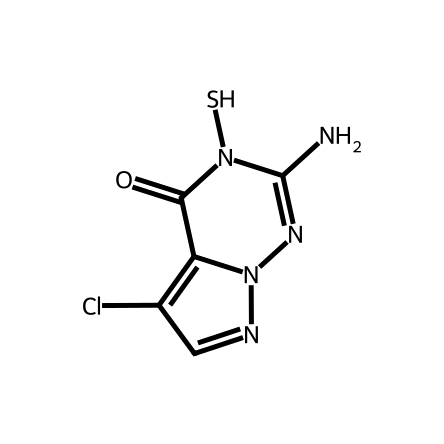 Nc1nn2ncc(Cl)c2c(=O)n1S